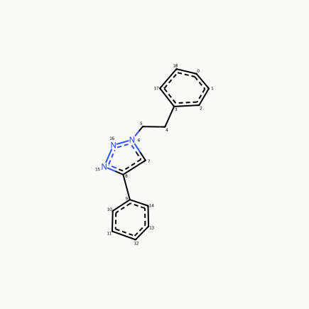 c1ccc(CCn2cc(-c3ccccc3)nn2)cc1